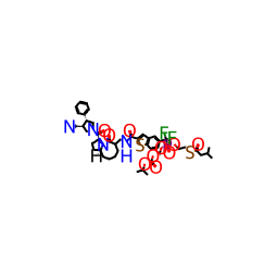 CC(C)CC(=O)SCCOP(=O)(OCOC(=O)OC(C)C)C(F)(F)c1ccc2sc(C(=O)NCC3CCCC[C@H]4CC[C@@H](C(=O)N5C[C@@H](C#N)[C@H](c6ccccc6)C5)N4C3=O)cc2c1